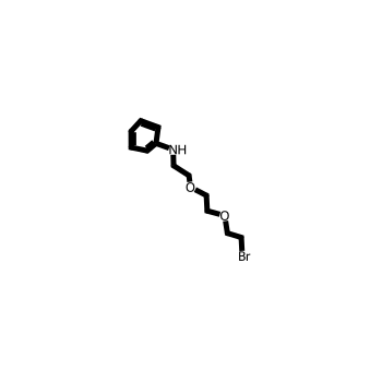 BrCCOCCOCCNc1ccccc1